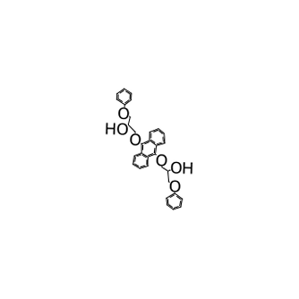 OC(COc1ccccc1)COc1c2ccccc2c(OCC(O)COc2ccccc2)c2ccccc12